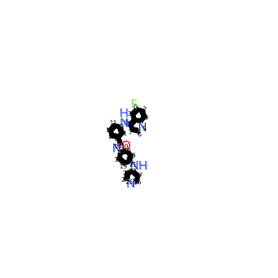 Fc1ccc2nccc(Nc3cccc(-c4nc5ccc(Nc6ccncc6)cc5o4)c3)c2c1